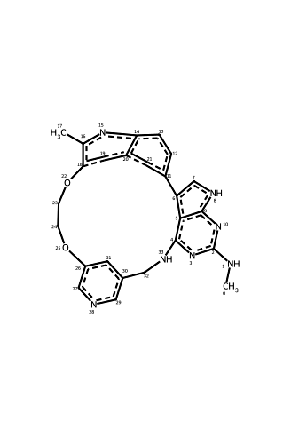 CNc1nc2c3c(c[nH]c3n1)-c1ccc3nc(C)c(cc3c1)OCCOc1cncc(c1)CN2